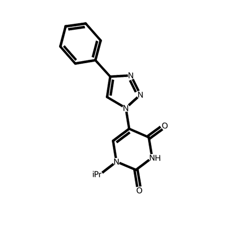 CC(C)n1cc(-n2cc(-c3ccccc3)nn2)c(=O)[nH]c1=O